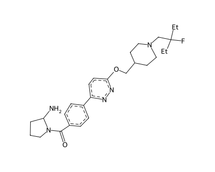 CCC(F)(CC)CN1CCC(COc2ccc(-c3ccc(C(=O)N4CCCC4N)cc3)nn2)CC1